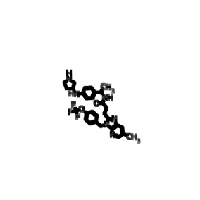 Cc1cnc2c(c1)nc(CCC(=O)NC(C)c1ccc(N[C@H]3CCNC3)cc1)n2Cc1ccc(OC(F)(F)F)cc1